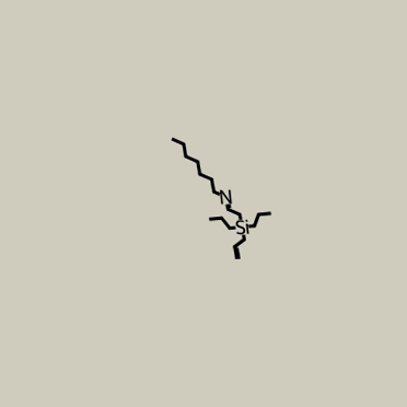 C=CC[Si](CC=NCCCCCCC)(CCC)CCC